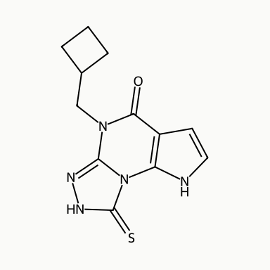 O=c1c2cc[nH]c2n2c(=S)[nH]nc2n1CC1CCC1